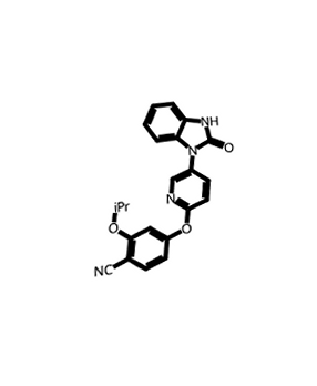 CC(C)Oc1cc(Oc2ccc(-n3c(=O)[nH]c4ccccc43)cn2)ccc1C#N